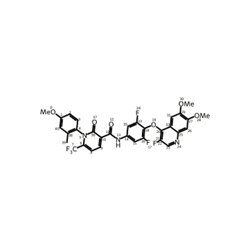 COc1ccc(-n2c(C(F)(F)F)ccc(C(=O)Nc3cc(F)c(Oc4c(F)cnc5cc(OC)c(OC)cc45)c(F)c3)c2=O)c(C)c1